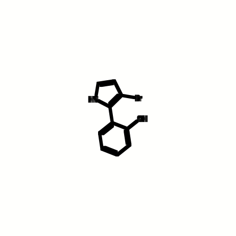 Oc1ccccc1-c1[nH]ccc1Br